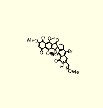 CO/N=C/c1cc2c(Br)c3c(c(O)c2c(=O)[nH]1)[C@@]1(CC3)C(=O)c2c(O)c3c(c(O)c2C1=O)C(=O)C(OC)=CC3=O